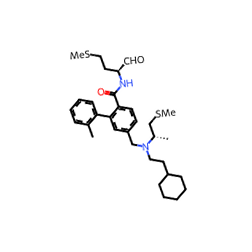 CSCC[C@@H](C=O)NC(=O)c1ccc(CN(CCC2CCCCC2)[C@@H](C)CSC)cc1-c1ccccc1C